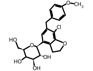 COc1ccc(Cc2cc([C@@H]3O[C@H](CO)C(O)[C@H](O)[C@H]3O)c3c(c2Cl)OCC3)cc1